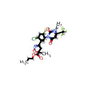 CCCOC(=O)C1(C)CC(c2cc(-n3c(=O)cc(C(F)(F)F)n(C)c3=O)c(F)cc2Cl)=NO1